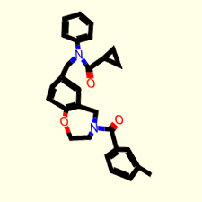 Cc1cccc(C(=O)N2CCOc3ccc(CN(C(=O)C4CC4)c4ccccc4)cc3C2)c1